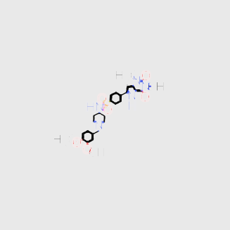 COc1ccc(CN2CCC(NS(=O)(=O)c3ccc(-c4cc5c([nH]4)c(=O)n(C)c(=O)n5C)cc3)CC2)cc1OC